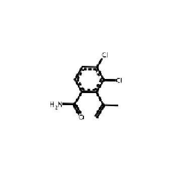 C=C(C)c1c(C(N)=O)ccc(Cl)c1Cl